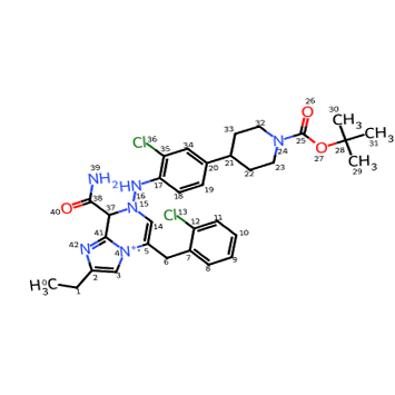 CCC1=C[N+]2C(Cc3ccccc3Cl)=CN(Nc3ccc(C4CCN(C(=O)OC(C)(C)C)CC4)cc3Cl)C(C(N)=O)C2=N1